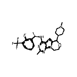 Cc1nc(N[C@H](C)c2cccc(C(F)(F)F)c2F)c2cc3n(c2n1)CCOC3C1CCN(C)CC1